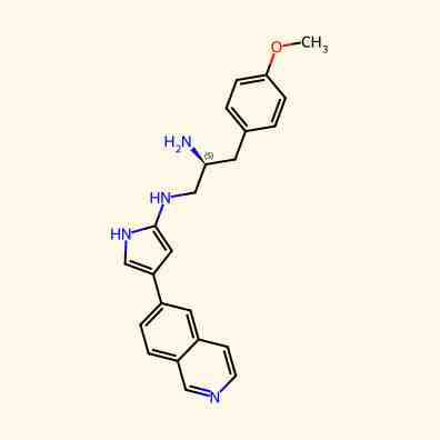 COc1ccc(C[C@H](N)CNc2cc(-c3ccc4cnccc4c3)c[nH]2)cc1